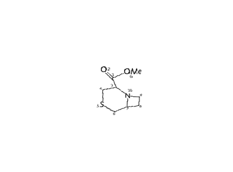 COC(=O)C1CSCC2CCN21